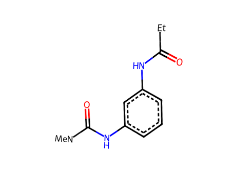 CCC(=O)Nc1cccc(NC(=O)NC)c1